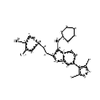 Cc1noc(C)c1-c1ccn2c(NC3CCCCC3)c(CCc3ccc(O)c(Cl)c3)nc2c1